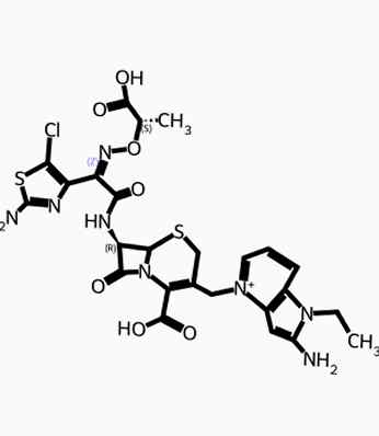 CCn1c(N)cc2c1ccc[n+]2CC1=C(C(=O)O)N2C(=O)[C@@H](NC(=O)/C(=N\O[C@@H](C)C(=O)O)c3nc(N)sc3Cl)C2SC1